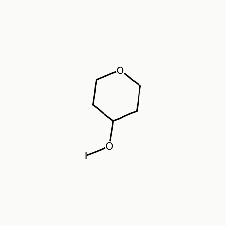 IOC1CCOCC1